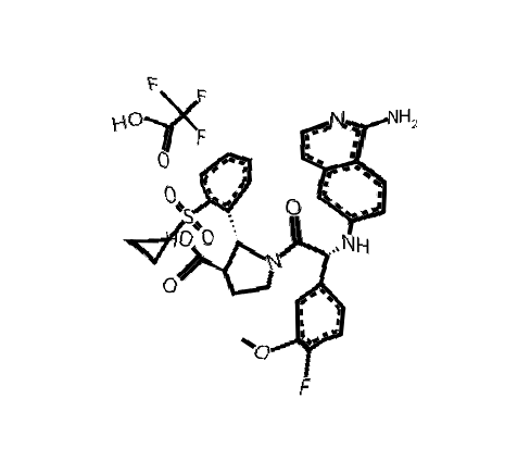 COc1cc([C@@H](Nc2ccc3c(N)nccc3c2)C(=O)N2CC[C@@H](C(=O)O)[C@@H]2c2ccccc2S(=O)(=O)C2CC2)ccc1F.O=C(O)C(F)(F)F